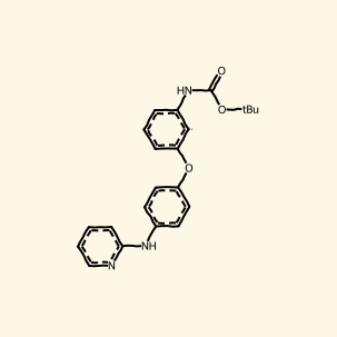 CC(C)(C)OC(=O)Nc1[c]c(Oc2ccc(Nc3ccccn3)cc2)ccc1